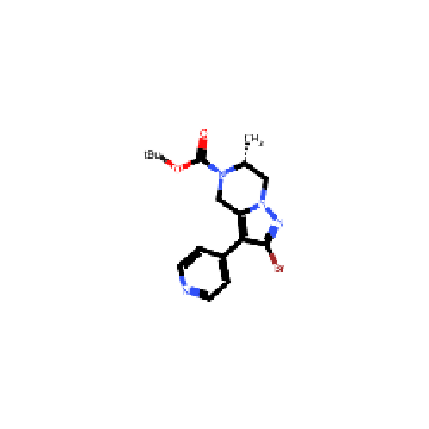 C[C@@H]1Cn2nc(Br)c(-c3ccncc3)c2CN1C(=O)OC(C)(C)C